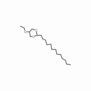 CCCCCCCCCCCCCC1OCC(OCC)CO1